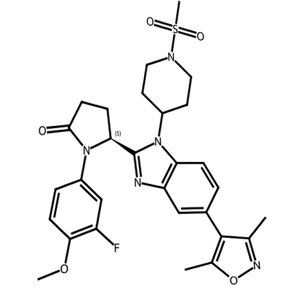 COc1ccc(N2C(=O)CC[C@H]2c2nc3cc(-c4c(C)noc4C)ccc3n2C2CCN(S(C)(=O)=O)CC2)cc1F